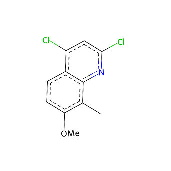 COc1ccc2c(Cl)cc(Cl)nc2c1C